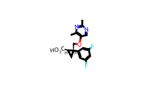 Cc1ncc(OC[C@@]2(c3cc(F)cc(F)c3)C[C@H]2C(=O)O)c(C)n1